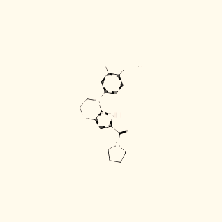 CSc1ccc(N2CCOc3cc(C(=O)N4CCCC4)[nH]c32)cc1O